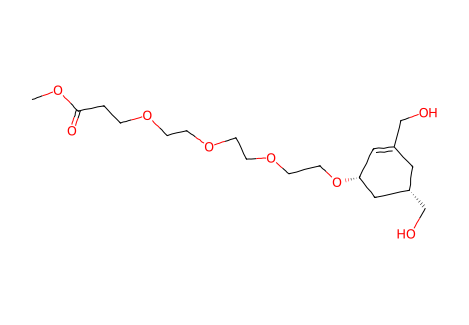 COC(=O)CCOCCOCCOCCO[C@@H]1C=C(CO)C[C@H](CO)C1